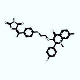 C/C(=C1\SC(=O)NC1=O)c1ccc(OCCOc2c(-c3ccc(F)cc3)n(C)c3cc(F)ccc3c2=O)cc1